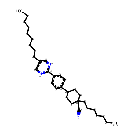 CCCCCCCCCc1cnc(-c2ccc(C3CCC(C#N)(CCCCCCC)CC3)cc2)nc1